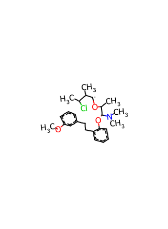 COc1cccc(CCc2ccccc2O[C@H](C(C)O[CH]C(C)C(C)Cl)N(C)C)c1